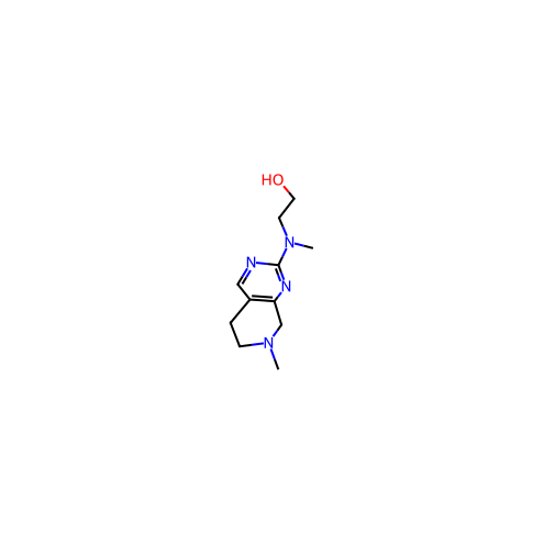 CN1CCc2cnc(N(C)CCO)nc2C1